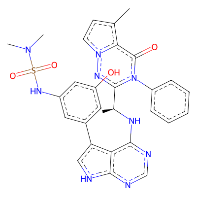 Cc1ccn2nc([C@H](C)Nc3ncnc4[nH]cc(-c5cc(O)cc(NS(=O)(=O)N(C)C)c5)c34)n(-c3ccccc3)c(=O)c12